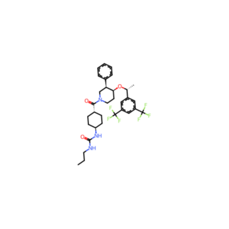 CCCNC(=O)N[C@H]1CC[C@H](C(=O)N2CC[C@H](O[C@H](C)c3cc(C(F)(F)F)cc(C(F)(F)F)c3)[C@H](c3ccccc3)C2)CC1